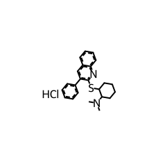 CN(C)C1CCCCC1Sc1nc2ccccc2cc1-c1ccccc1.Cl